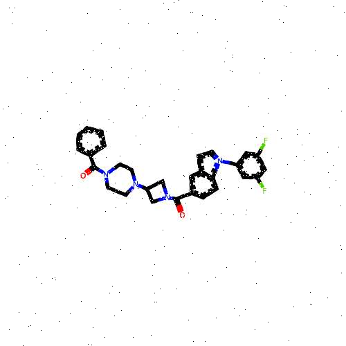 O=C(c1ccccc1)N1CCN(C2CN(C(=O)c3ccc4c(ccn4-c4cc(F)cc(F)c4)c3)C2)CC1